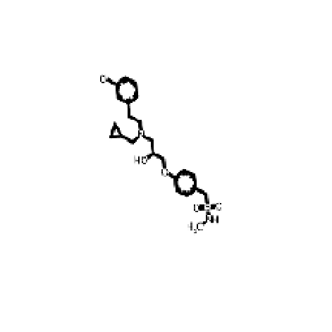 CNS(=O)(=O)Cc1ccc(OCC(O)CN(CCc2cccc(Cl)c2)CC2CC2)cc1